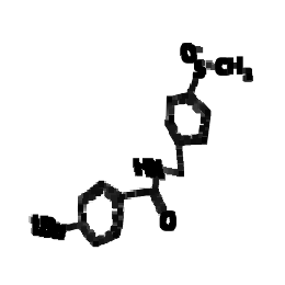 C[S+]([O-])c1ccc(CNC(=O)c2ccc(C(C)(C)C)cc2)cc1